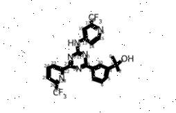 CC(C)(O)c1cccc(-c2nc(Nc3ccnc(C(F)(F)F)c3)nc(-c3cccc(C(F)(F)F)n3)n2)c1